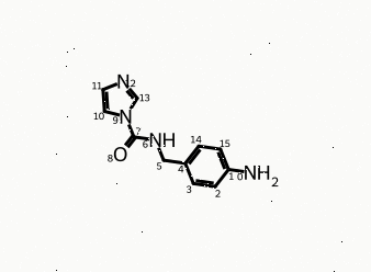 Nc1ccc(CNC(=O)n2ccnc2)cc1